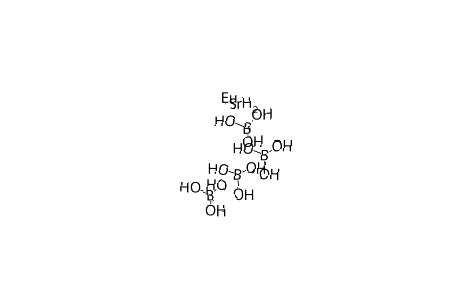 OB(O)O.OB(O)O.OB(O)O.OB(O)O.[Eu].[SrH2]